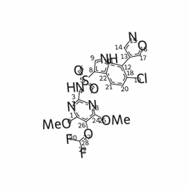 COc1nc(NS(=O)(=O)c2c[nH]c3c(-c4cnoc4)c(Cl)ccc23)nc(OC)c1OC(F)F